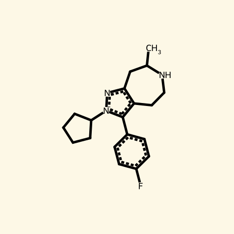 CC1Cc2nn(C3CCCC3)c(-c3ccc(F)cc3)c2CCN1